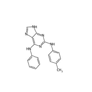 Cc1ccc(Nc2nc(Nc3ccccc3)c3nc[nH]c3n2)cc1